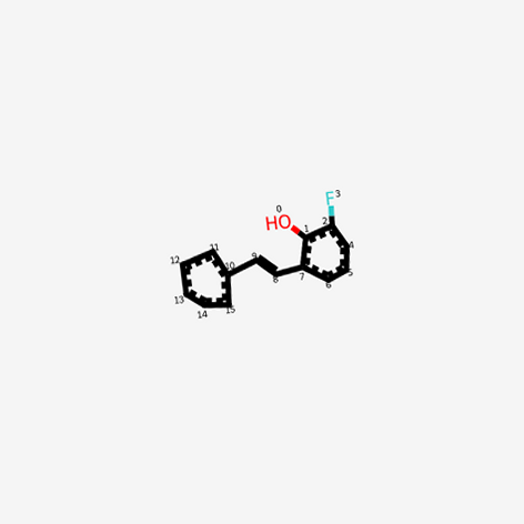 Oc1c(F)cccc1C=Cc1ccccc1